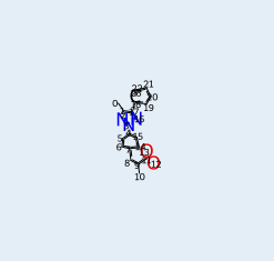 Cc1nn(-c2ccc3cc(C)c(=O)oc3c2)nc1-c1ccccc1